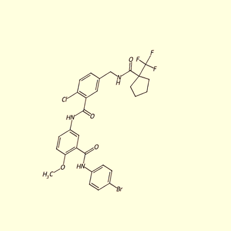 COc1ccc(NC(=O)c2cc(CNC(=O)C3(C(F)(F)F)CCCC3)ccc2Cl)cc1C(=O)Nc1ccc(Br)cc1